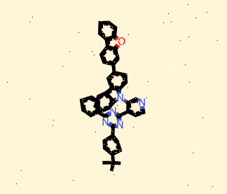 CC(C)(C)c1ccc(-c2nc(-c3ccccc3)nc(-c3ccncc3-n3c4ccccc4c4cc(-c5ccc6c(c5)oc5ccccc56)ccc43)n2)cc1